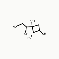 OC[C@H](O)[C@@]1([SeH])C[C@@H](O)[C@@H]1O